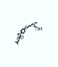 CCN(CCO)CCCCO[C@H]1CC[C@H](N(C)C(=O)OCC(C)C)CC1